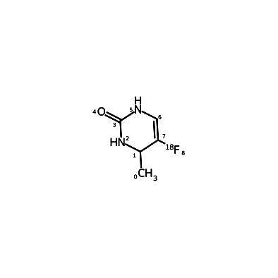 CC1NC(=O)NC=C1[18F]